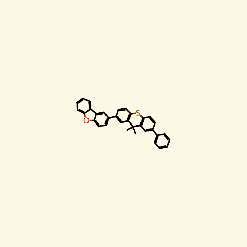 CC1(C)c2cc(-c3ccccc3)ccc2Sc2ccc(-c3ccc4oc5ccccc5c4c3)cc21